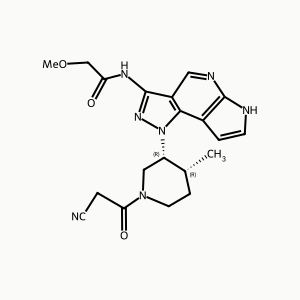 COCC(=O)Nc1nn([C@H]2CN(C(=O)CC#N)CC[C@H]2C)c2c1cnc1[nH]ccc12